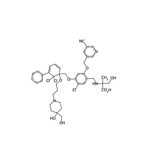 CC(CO)(NCc1cc(Cl)c(OCC2(OCCCN3CCC(O)(CO)CC3)C=CC=C(c3ccccc3)C2(Cl)Cl)cc1OCc1cncc(C#N)c1)C(=O)O